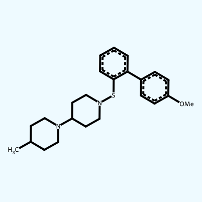 COc1ccc(-c2ccccc2SN2CCC(N3CCC(C)CC3)CC2)cc1